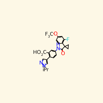 CC(C)n1cc(-c2ccc(NC(=O)C3(c4ccc(OC(F)(F)F)cc4F)CC3)cc2C(=O)O)cn1